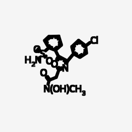 CN(O)C(=O)Cc1nc(-c2ccc(Cl)cc2)c(-c2ccccc2S(N)(=O)=O)o1